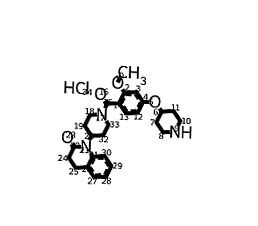 COc1cc(OC2CCNCC2)ccc1C(=O)N1CCC(N2C(=O)CCc3ccccc32)CC1.Cl